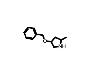 CC1CC(OCc2ccccc2)CN1